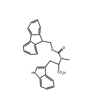 CN(C(=O)OCC1c2ccccc2-c2ccccc21)C(Cc1c[nH]c2ccccc12)C(=O)O